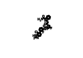 NC(=O)c1nn(CC(=O)N2C[C@H](F)C[C@H]2C(=O)Nc2cccc(-c3ccc4nc(F)[nH]c4c3Cl)c2F)c2ccccc12